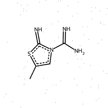 Cc1cn(C(=N)N)c(=N)s1